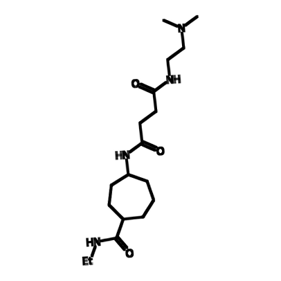 CCNC(=O)C1CCCC(NC(=O)CCC(=O)NCCN(C)C)CC1